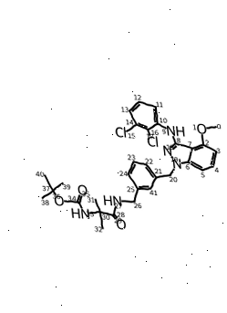 COc1cccc2c1c(Nc1cccc(Cl)c1Cl)nn2Cc1cccc(CNC(=O)C(C)(C)NC(=O)OC(C)(C)C)c1